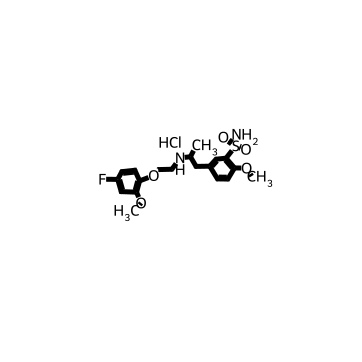 COc1cc(F)ccc1OCCNC(C)Cc1ccc(OC)c(S(N)(=O)=O)c1.Cl